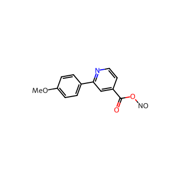 COc1ccc(-c2cc(C(=O)ON=O)ccn2)cc1